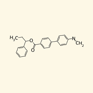 C=Nc1ccc(-c2ccc(C(=O)OC(CC)c3ccccc3)cc2)cc1